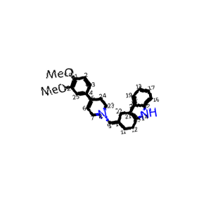 COc1ccc(C2=CCN(CC3CCc4[nH]c5ccccc5c4C3)CC2)cc1OC